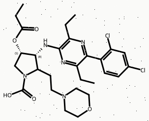 CCC(=O)O[C@H]1CN(C(=O)O)C(CCN2CCOCC2)[C@H]1Nc1nc(CC)c(-c2ccc(Cl)cc2Cl)nc1CC